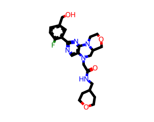 O=C(CN1CC2COCCN2c2nc(-c3cc(CO)ccc3F)ncc21)NCC1CCOCC1